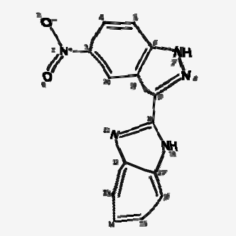 O=[N+]([O-])c1ccc2[nH]nc(-c3nc4ccccc4[nH]3)c2c1